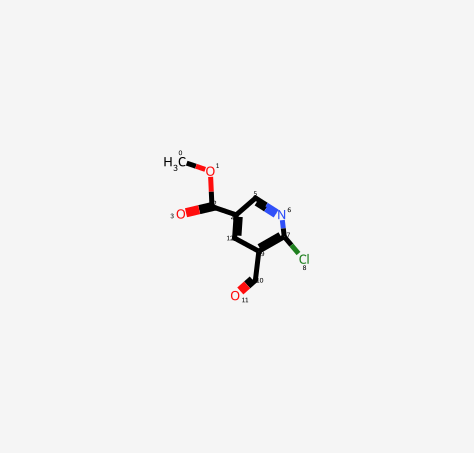 COC(=O)c1cnc(Cl)c(C=O)c1